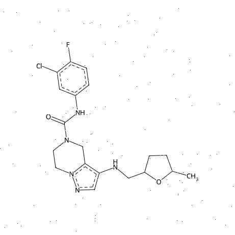 CC1CCC(CNc2cnn3c2CN(C(=O)Nc2ccc(F)c(Cl)c2)CC3)O1